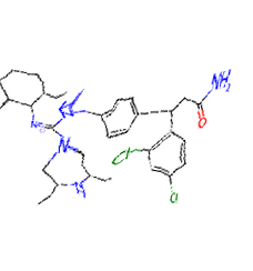 CC1CN(/C(=N/C2C(C)CCCC2C)Nc2ccc(C(CC(N)=O)c3ccc(Cl)cc3Cl)cc2)CC(C)N1